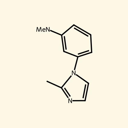 CNc1cccc(-n2ccnc2C)c1